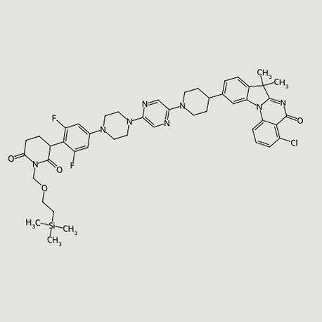 CC1(C)c2ccc(C3CCN(c4cnc(N5CCN(c6cc(F)c(C7CCC(=O)N(COCC[Si](C)(C)C)C7=O)c(F)c6)CC5)cn4)CC3)cc2-n2c1nc(=O)c1c(Cl)cccc12